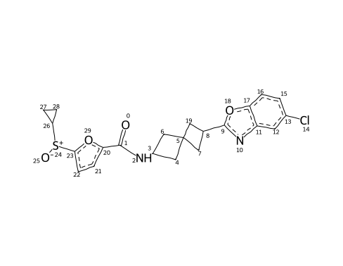 O=C(NC1CC2(C1)CC(c1nc3cc(Cl)ccc3o1)C2)c1ccc([S+]([O-])C2CC2)o1